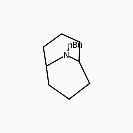 CCCCN1C2CCCC1CCC2